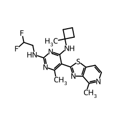 Cc1nc(NCC(F)F)nc(NC2(C)CCC2)c1-c1nc2c(C)nccc2s1